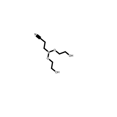 N#CCCN(OCCO)OCCO